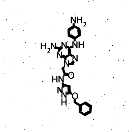 Nc1ccc(Nc2nc(N)nc3c2ncn3CC(=O)Nc2cc(OCc3ccccc3)[nH]n2)cc1